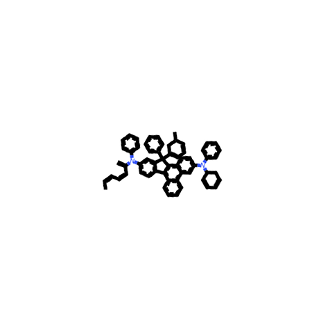 C=C(/C=C\C=C/C)N(c1ccccc1)c1ccc2c(c1)C(C1=CC=CC(C)C1)(c1ccccc1)c1c-2c2ccccc2c2cc(N(c3ccccc3)C3C=CC=CC3)ccc12